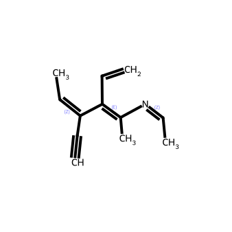 C#CC(=C/C)/C(C=C)=C(C)/N=C\C